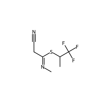 C/N=C(/CC#N)SC(C)C(F)(F)F